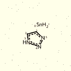 [SnH2].c1c[nH]nn1